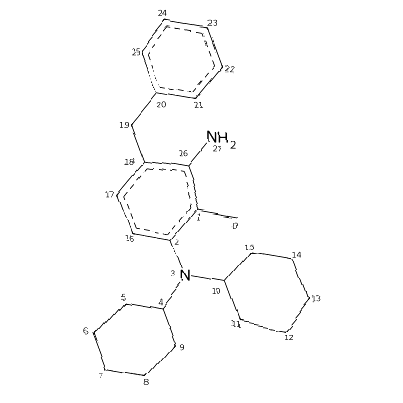 Cc1c(N(C2CCCCC2)C2CCCCC2)ccc(Cc2ccccc2)c1N